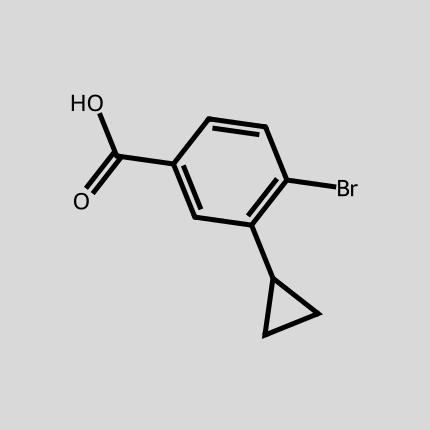 O=C(O)c1ccc(Br)c(C2CC2)c1